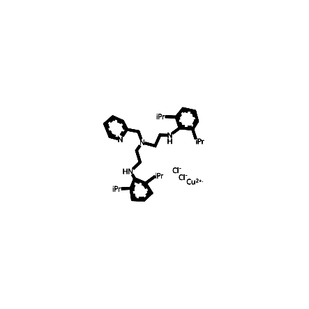 CC(C)c1cccc(C(C)C)c1NCCN(CCNc1c(C(C)C)cccc1C(C)C)Cc1ccccn1.[Cl-].[Cl-].[Cu+2]